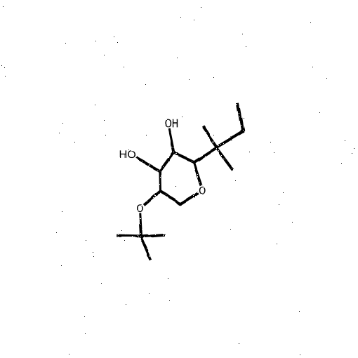 CCC(C)(C)C1OCC(OC(C)(C)C)C(O)C1O